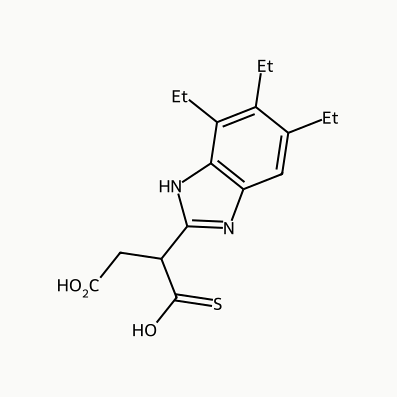 CCc1cc2nc(C(CC(=O)O)C(O)=S)[nH]c2c(CC)c1CC